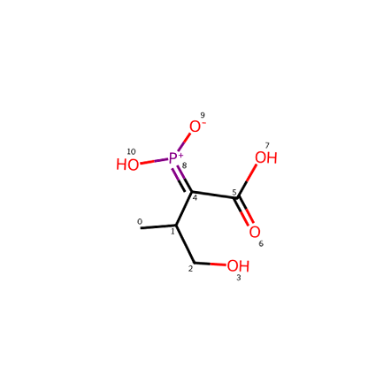 CC(CO)C(C(=O)O)=[P+]([O-])O